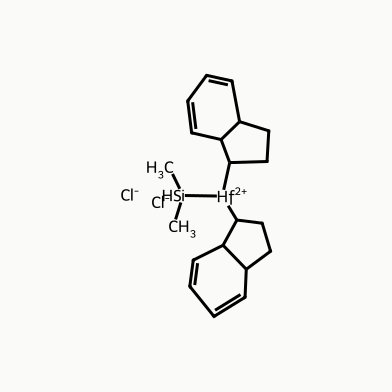 C[SiH](C)[Hf+2]([CH]1CCC2C=CC=CC21)[CH]1CCC2C=CC=CC21.[Cl-].[Cl-]